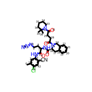 Cc1cc(NC(=O)C(CCN=[N+]=[N-])NC(=O)[C@@H]2Cc3ccccc3CN2C(=O)CCC(=O)N2CCCCC2(C)C)c(C#N)cc1Cl